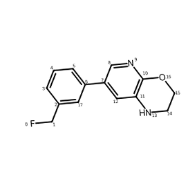 FCc1cccc(-c2cnc3c(c2)NCCO3)c1